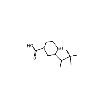 CC(C1CN(C(=O)O)CCN1)C(C)(C)C